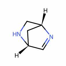 C1=N[C@H]2CN[C@@H]1C2